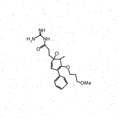 COCCCOC1=C(c2ccccc2)C=CC(Cl)(CCC(=O)NC(=N)N)C1C